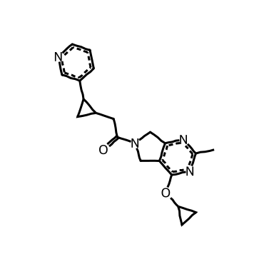 Cc1nc2c(c(OC3CC3)n1)CN(C(=O)CC1CC1c1cccnc1)C2